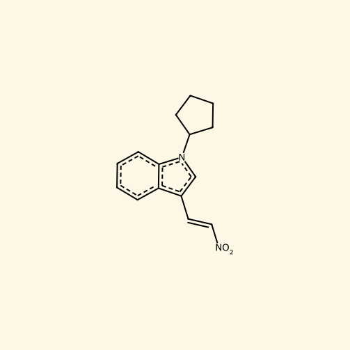 O=[N+]([O-])C=Cc1cn(C2CCCC2)c2ccccc12